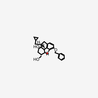 OC[C@H]1CC[C@@]2(O)[C@H]3Cc4ccc(OCc5ccccc5)c5c4[C@@]2(CCN3CC2CC2)[C@H]1O5